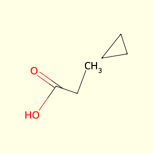 C1CC1.CCC(=O)O